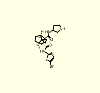 O=C(NC1CCNC1)[C@H]1[C@H](C(=O)Nc2ncc(Br)s2)[C@@H]2CC[C@H]1C21CC1